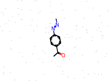 C/N=N/c1ccc(C(C)=O)cc1